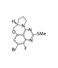 CSc1nc2c3c(cc(Br)c(F)c3n1)OC[C@@H]1CCCN21